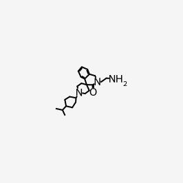 CC(C)C1CCC(N2CCC3(CC2)C(=O)N(CCN)Cc2ccccc23)CC1